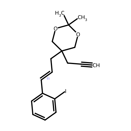 C#CCC1(C/C=C/c2ccccc2I)COC(C)(C)OC1